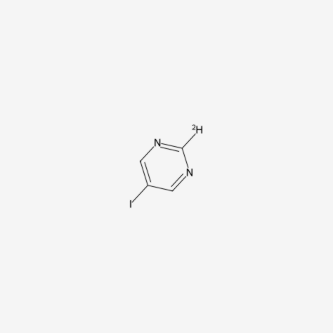 [2H]c1ncc(I)cn1